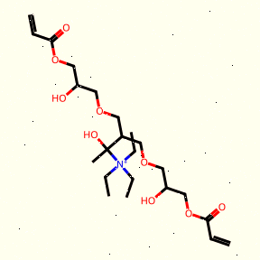 C=CC(=O)OCC(O)COCC(COCC(O)COC(=O)C=C)C(C)(O)[N+](CC)(CC)CC